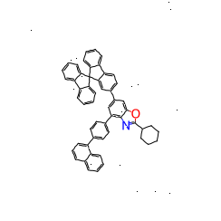 c1ccc2c(c1)-c1ccccc1C21c2ccccc2-c2ccc(-c3cc(-c4ccc(-c5cccc6ccccc56)cc4)c4nc(C5CCCCC5)oc4c3)cc21